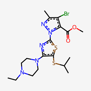 CCN1CCN(c2nc(-n3nc(C)c(Br)c3C(=O)OC)sc2SC(C)C)CC1